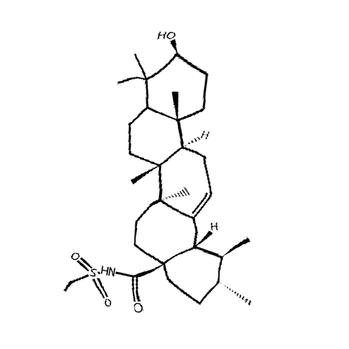 C[C@H]1[C@H](C)CC[C@]2(C(=O)NS(C)(=O)=O)CC[C@]3(C)C(=CC[C@@H]4[C@@]5(C)CC[C@H](O)C(C)(C)C5CC[C@]43C)[C@H]12